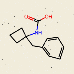 O=C(O)NC1(Cc2ccccc2)CCC1